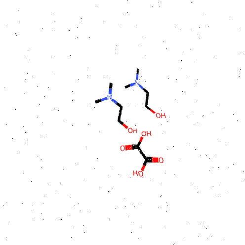 CN(C)CCO.CN(C)CCO.O=C(O)C(=O)O